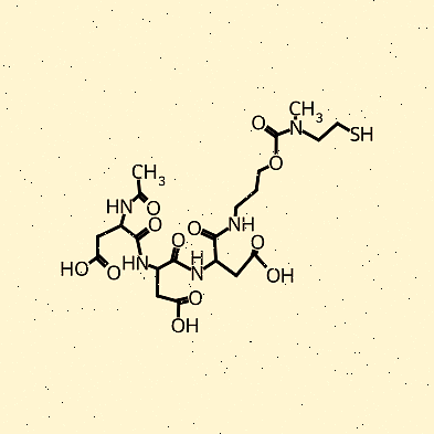 CC(=O)NC(CC(=O)O)C(=O)NC(CC(=O)O)C(=O)NC(CC(=O)O)C(=O)NCCCOC(=O)N(C)CCS